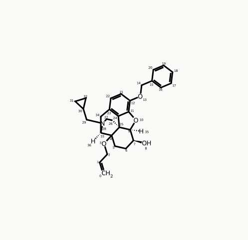 C=CCOC12CC[C@H](O)[C@@H]3Oc4c(OCc5ccccc5)ccc5c4[C@@]31CCN(CC1CC1)[C@@H]2C5